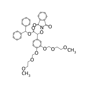 COCCOCOc1ccc(C(ON2C(=O)c3ccccc3C2=O)C(=O)OC(c2ccccc2)c2ccccc2)cc1OCOCCOC